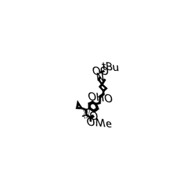 COC(=O)[C@@H](C)[C@H](c1ccc(CCC(=O)C2CC3(C2)CN(C(=O)OC(C)(C)C)C3)c(O)c1)C1CC1